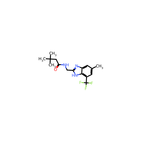 Cc1cc(C(F)(F)F)c2[nH]c(CNC(=O)CC(C)(C)C)nc2c1